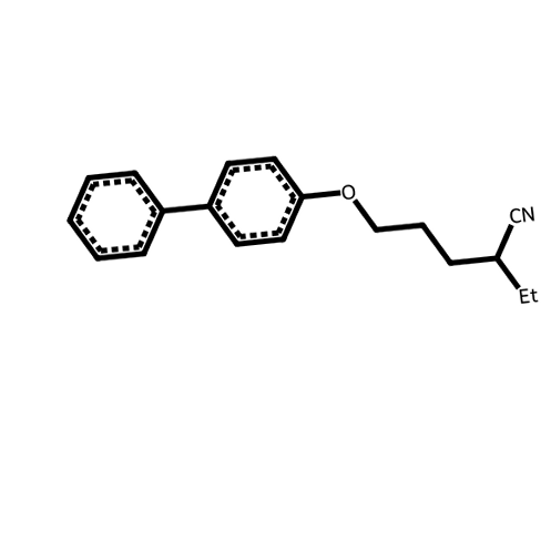 CCC(C#N)CCCOc1ccc(-c2ccccc2)cc1